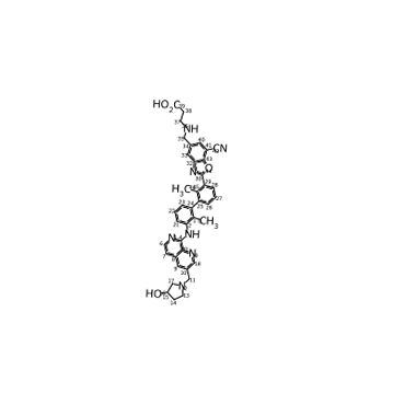 Cc1c(Nc2nccc3cc(CN4CCC(O)C4)cnc23)cccc1-c1cccc(-c2nc3cc(CNCCC(=O)O)cc(C#N)c3o2)c1C